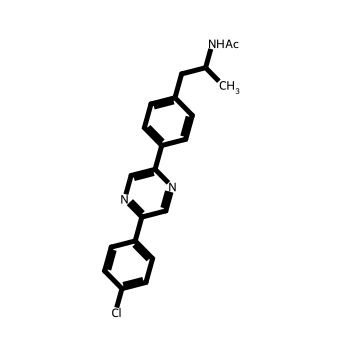 CC(=O)NC(C)Cc1ccc(-c2cnc(-c3ccc(Cl)cc3)cn2)cc1